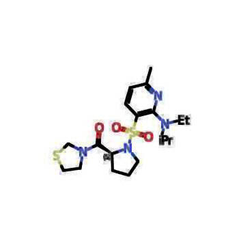 CCN(c1nc(C)ccc1S(=O)(=O)N1CCC[C@H]1C(=O)N1CCSC1)C(C)C